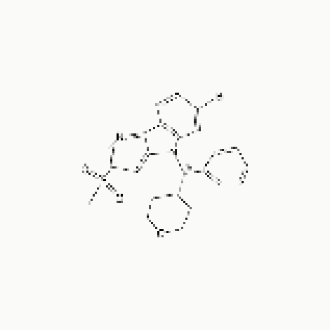 CS(=O)(=O)c1cnc2c3ccc(Br)cc3n([C@H](c3ccccc3)C3CCOCC3)c2c1